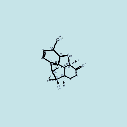 O=C1CC[C@H]2[C@@H]3C[C@]34C[C@@]23C2=C4C=CC(O)C2O[C@@H]13